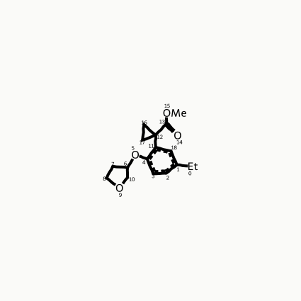 CCc1ccc(OC2CCOC2)c(C2(C(=O)OC)CC2)c1